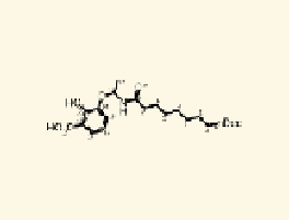 CCCCCCCCCCCCCCCCCC(=O)NC(C)Oc1cccc(C(=O)O)c1O